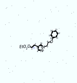 CCOC(=O)/C=C/c1cnn(CCOc2ccccc2)c1